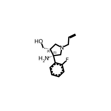 C=CCN1C[C@@H](CO)[C@](N)(c2ccccc2F)C1